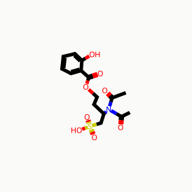 CC(=O)N(C(C)=O)C(CCOC(=O)c1ccccc1O)CS(=O)(=O)O